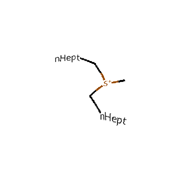 CCCCCCCC[S+](C)CCCCCCCC